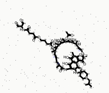 CC(=O)O[C@H]1[C@H](C)[C@H](O)[C@H](C)[C@@H](OC(=O)CCCOC(=O)CCC(=O)NC(C=O)C=O)[C@@H](C)/C=C/C=C(/C)C(=O)NC2=C(O)c3c(O)c(C)c4c(c3C3=NC5(CCN(CC(C)C)CC5)NC32)C(=O)[C@@](C)(O/C=C/[C@H](C)[C@H]1C)O4